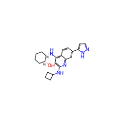 O[C@@H]1CCCC[C@@H]1Nc1cc(NC2CCC2)nc2cc(-c3ccn[nH]3)ccc12